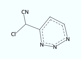 N#CC(Cl)c1ccnnn1